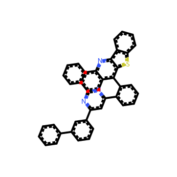 c1ccc(-c2cccc(-c3cc(-c4ccccc4-c4c5ccccc5nc5c4sc4ccccc45)nc(-c4ccccc4)n3)c2)cc1